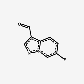 O=Cc1cnn2cc(F)ccc12